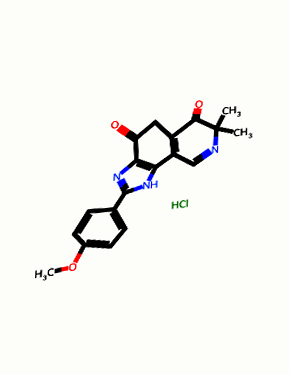 COc1ccc(-c2nc3c([nH]2)C2=C(CC3=O)C(=O)C(C)(C)N=C2)cc1.Cl